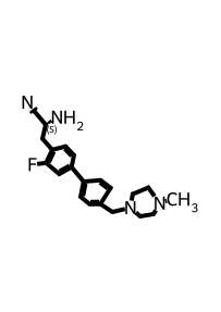 CN1CCN(Cc2ccc(-c3ccc(C[C@H](N)C#N)c(F)c3)cc2)CC1